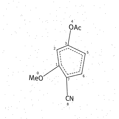 COc1cc(OC(C)=O)ccc1C#N